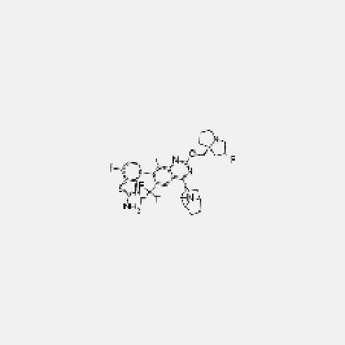 Cc1c(-c2ccc(F)c3sc(N)nc23)c(C(F)(F)F)cc2c(N3CC4CCC(C3)N4)nc(OC[C@@]34CCCN3C[C@H](F)C4)nc12